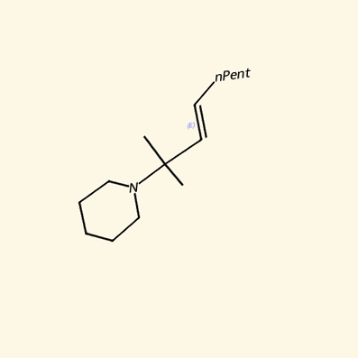 CCCCC/C=C/C(C)(C)N1CCCCC1